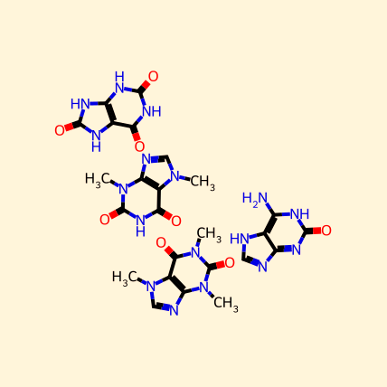 Cn1c(=O)c2c(ncn2C)n(C)c1=O.Cn1cnc2c1c(=O)[nH]c(=O)n2C.Nc1[nH]c(=O)nc2nc[nH]c12.O=c1[nH]c(=O)c2[nH]c(=O)[nH]c2[nH]1